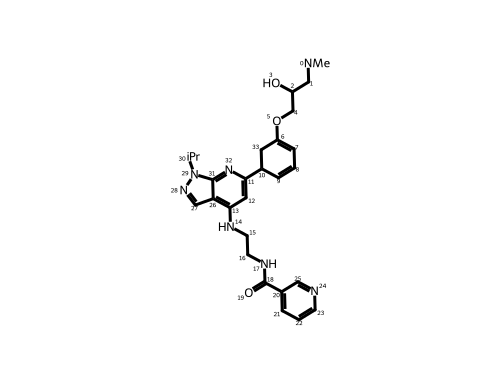 CNCC(O)COC1=CC=CC(c2cc(NCCNC(=O)c3cccnc3)c3cnn(C(C)C)c3n2)C1